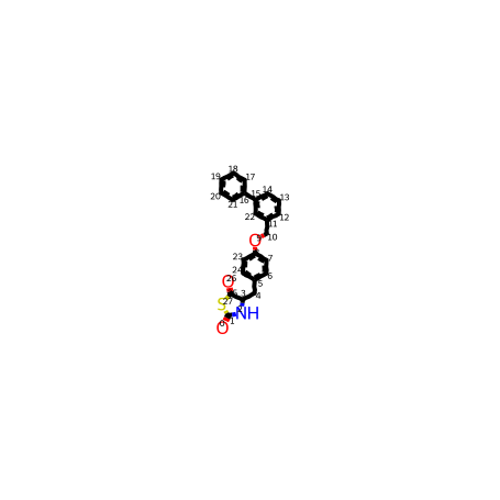 O=C1NC(Cc2ccc(OCc3cccc(-c4ccccc4)c3)cc2)C(=O)S1